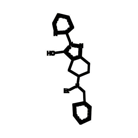 CCN(Cc1ccccc1)C1CCc2nn(-c3ccccn3)c(O)c2C1